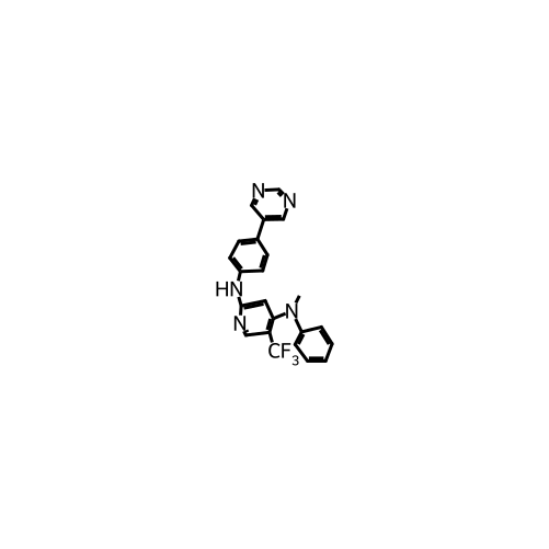 CN(c1ccccc1)c1cc(Nc2ccc(-c3cncnc3)cc2)ncc1C(F)(F)F